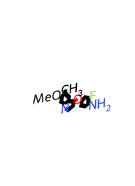 COc1cc2nccc(Oc3ccc(N)c(F)c3)c2cc1C